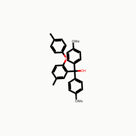 COc1ccc(C(O)(c2ccc(OC)cc2)c2cc(C)ccc2Oc2ccc(C)cc2)cc1